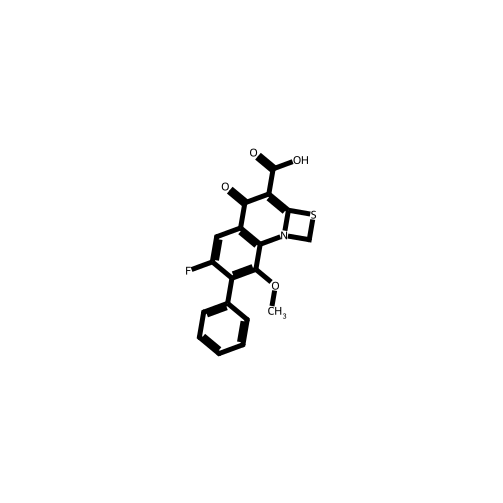 COc1c(-c2ccccc2)c(F)cc2c(=O)c(C(=O)O)c3n(c12)CS3